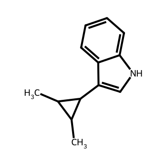 CC1C(C)C1c1c[nH]c2ccccc12